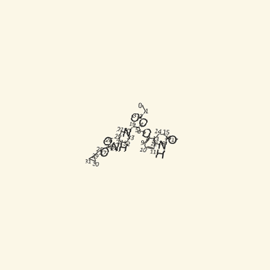 CCC(=O)OC(COc1cccc2c1CCC(=O)N2)CN1CCC(NC(=O)OCC2CC2)CC1